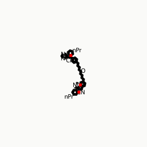 CCC[C@H]1CC[C@H](C2(C(C#N)Cc3ccc(CCCCC(=O)CCCCc4ccc(CC(C#N)C5([C@H]6CC[C@H](CCC)CC6)C=NC=NC5)cc4)cc3)C=NC=NC2)CC1